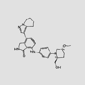 CO[C@@H]1CC[C@@H](CO)N(c2ccc(Nc3ccc(-c4cnn5c4CCCC5)c4c3C(=O)NC4)nc2)C1